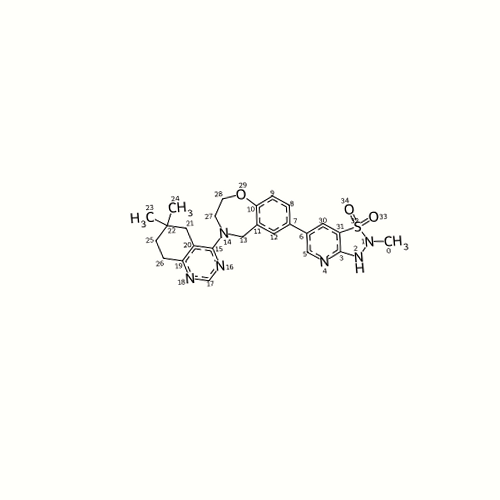 CN1Nc2ncc(-c3ccc4c(c3)CN(c3ncnc5c3CC(C)(C)CC5)CCO4)cc2S1(=O)=O